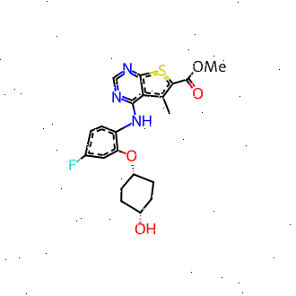 COC(=O)c1sc2ncnc(Nc3ccc(F)cc3O[C@H]3CC[C@@H](O)CC3)c2c1C